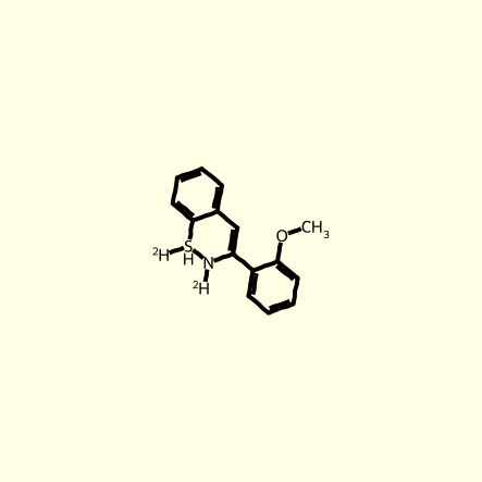 [2H]N1C(c2ccccc2OC)=Cc2ccccc2[SH]1[2H]